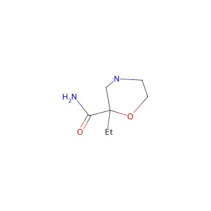 CCC1(C(N)=O)C[N]CCO1